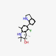 Cc1cc(-c2cccc3c2NCC3)c(F)c2c1NC(C)(C)[C@H](O)[C@H]2C